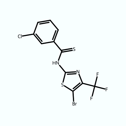 FC(F)(F)c1nc(NC(=S)c2cccc(Cl)c2)sc1Br